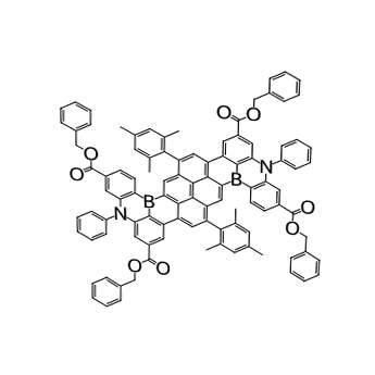 Cc1cc(C)c(-c2cc3c4c(cc5c(-c6c(C)cc(C)cc6C)cc6c7c(cc2c4c57)B2c4ccc(C(=O)OCc5ccccc5)cc4N(c4ccccc4)c4cc(C(=O)OCc5ccccc5)cc-6c42)B2c4ccc(C(=O)OCc5ccccc5)cc4N(c4ccccc4)c4cc(C(=O)OCc5ccccc5)cc-3c42)c(C)c1